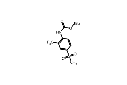 CC(C)(C)OC(=O)Nc1ccc(S(C)(=O)=O)cc1C(F)(F)F